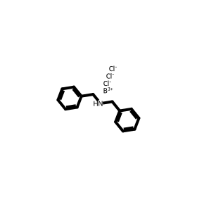 [B+3].[Cl-].[Cl-].[Cl-].c1ccc(CNCc2ccccc2)cc1